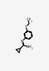 N/C(=N\c1cccc(SCC(F)(F)F)c1)C1CC1